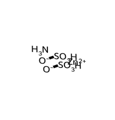 N.O=S(=O)([O-])O.O=S(=O)([O-])O.[Zn+2]